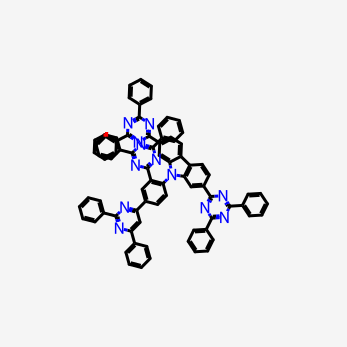 c1ccc(-c2cc(-c3ccc(-n4c5cc(-c6nc(-c7ccccc7)nc(-c7ccccc7)n6)ccc5c5ccc(-c6nc(-c7ccccc7)nc(-c7ccccc7)n6)cc54)c(-c4nc(-c5ccccc5)nc(-c5ccccc5)n4)c3)nc(-c3ccccc3)n2)cc1